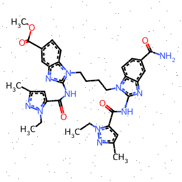 CCn1nc(C)cc1C(=O)Nc1nc2cc(C(N)=O)ccc2n1CCCCn1c(NC(=O)c2cc(C)nn2CC)nc2cc(C(=O)OC)ccc21